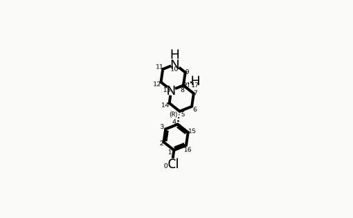 Clc1ccc([C@H]2CC[C@@H]3CNCCN3C2)cc1